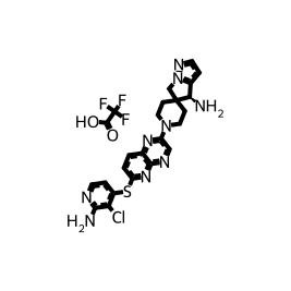 Nc1nccc(Sc2ccc3nc(N4CCC5(CC4)Cn4nccc4[C@H]5N)cnc3n2)c1Cl.O=C(O)C(F)(F)F